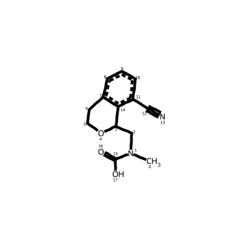 CN(CC1OCCc2cccc(C#N)c21)C(=O)O